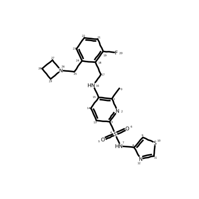 Cc1nc(S(=O)(=O)Nc2cscn2)ccc1NCc1c(F)cccc1CN1CCC1